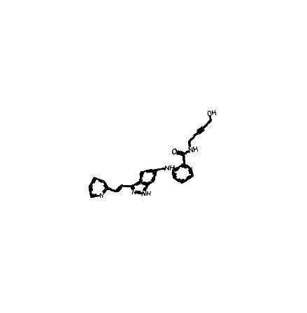 O=C(NCC#CCO)c1ccccc1Nc1ccc2c(C=Cc3ccccn3)n[nH]c2c1